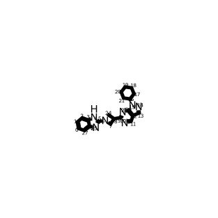 c1ccc2[nH]c(N3CC(c4ncc5cnn(C6CCCCC6)c5n4)C3)nc2c1